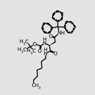 CCCCCCCNC(=O)[C@H](CC(=O)NC(c1ccccc1)(c1ccccc1)c1ccccc1)NC(=O)OC(C)(C)C